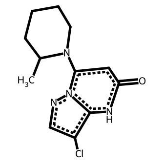 CC1CCCCN1c1cc(=O)[nH]c2c(Cl)cnn12